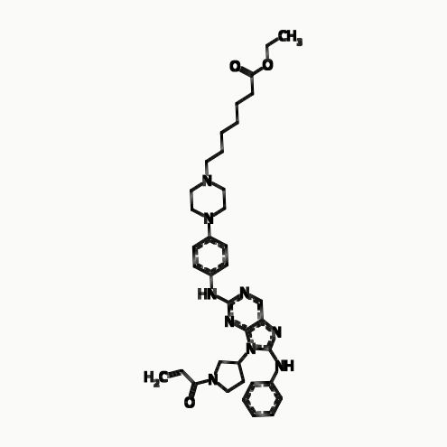 C=CC(=O)N1CCC(n2c(Nc3ccccc3)nc3cnc(Nc4ccc(N5CCN(CCCCCCC(=O)OCC)CC5)cc4)nc32)C1